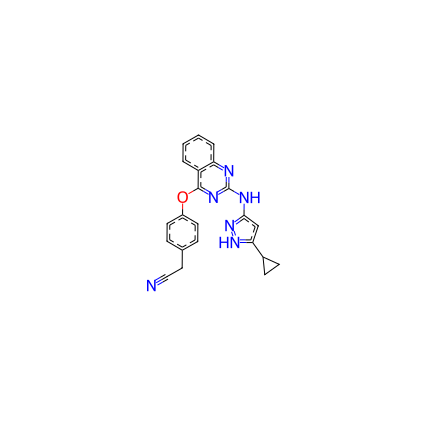 N#CCc1ccc(Oc2nc(Nc3cc(C4CC4)[nH]n3)nc3ccccc23)cc1